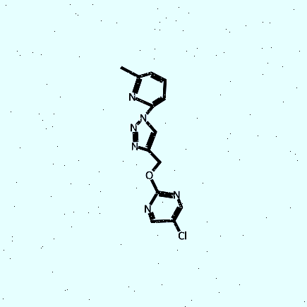 Cc1cccc(-n2cc(COc3ncc(Cl)cn3)nn2)n1